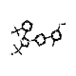 COc1ccc(C)c(-c2ccc(-n3cc(C(C)(C)O)nc3-c3ccccc3C(F)(F)F)cc2)c1